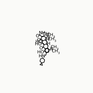 CN(C)c1cc(CNC2CCC3(CC2)CC3)c(O)c2c1C[C@H]1C[C@H]3[C@H](N(C)C)C(O)=C(C(N)=O)C(=O)[C@@]3(O)C(O)=C1C2=O